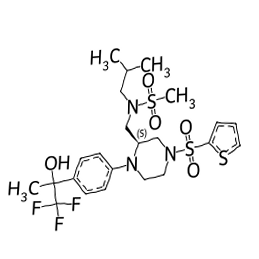 CC(C)CN(C[C@H]1CN(S(=O)(=O)c2cccs2)CCN1c1ccc(C(C)(O)C(F)(F)F)cc1)S(C)(=O)=O